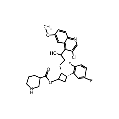 COc1ccc2ncc(Cl)c(C(O)CC[C@H]3C(OC(=O)C4CCCNC4)C[C@H]3c3cc(F)ccc3F)c2c1